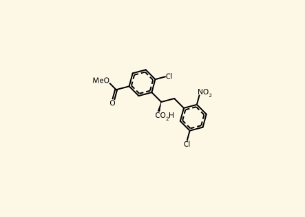 COC(=O)c1ccc(Cl)c([C@@H](Cc2cc(Cl)ccc2[N+](=O)[O-])C(=O)O)c1